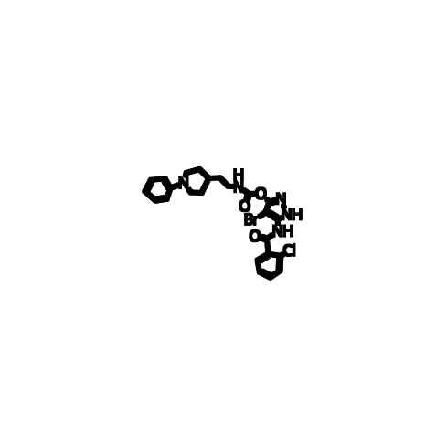 O=C(NCCC1CCN(c2ccccc2)CC1)Oc1n[nH]c(NC(=O)c2ccccc2Cl)c1Br